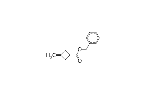 C=C1CC(C(=O)OCc2ccccc2)C1